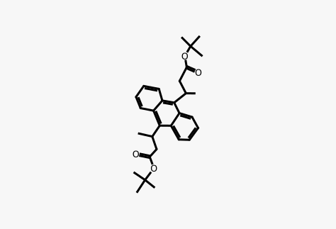 CC(CC(=O)OC(C)(C)C)c1c2ccccc2c(C(C)CC(=O)OC(C)(C)C)c2ccccc12